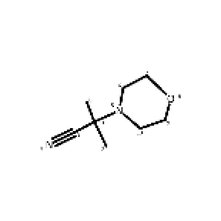 CC(C)(C#N)N1CCOCC1